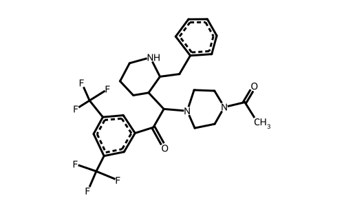 CC(=O)N1CCN(C(C(=O)c2cc(C(F)(F)F)cc(C(F)(F)F)c2)C2CCCNC2Cc2ccccc2)CC1